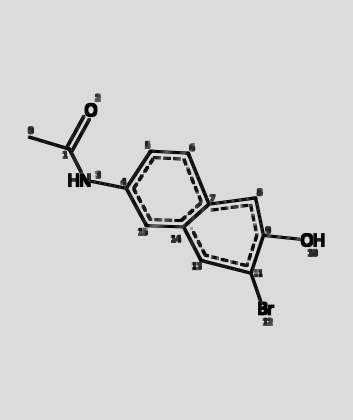 CC(=O)Nc1ccc2cc(O)c(Br)cc2c1